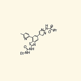 CCNC(=O)Nc1nc2cc(-c3cnc(NS(=O)(=O)C(C)C)nc3)cc(-c3ccc(C)cn3)c2s1